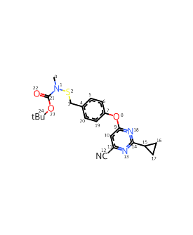 CN(SCc1ccc(Oc2cc(C#N)nc(C3CC3)n2)cc1)C(=O)OC(C)(C)C